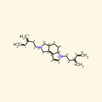 C=CC(=C)CCN1CC2=C3C=CN(CCC(=C)C=C)C3CCC2C1